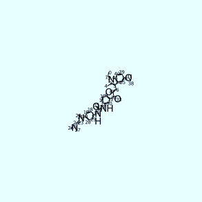 CCn1c(C)c(/C=C2\Oc3ccc(NC(=O)Nc4ccc(N(C)CCN(C)C)cc4)cc3C2=O)c2cc(OC)ccc21